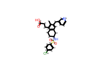 Cc1c(Cc2cccnc2)cc2c(c1CCC(=O)O)CCC(NS(=O)(=O)c1ccc(Cl)cc1)C2